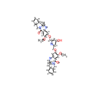 COc1cc2c(cc1OCc1cc(O)cc(COc3cc4c(cc3OC)C(=O)N3Cc5ccccc5C[C@H]3C=N4)n1)N=C[C@@H]1Cc3ccccc3CN1C2=O